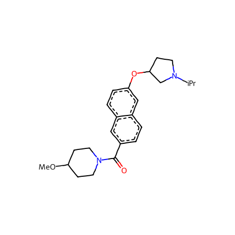 COC1CCN(C(=O)c2ccc3cc(OC4CCN(C(C)C)C4)ccc3c2)CC1